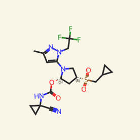 Cc1cc(N2C[C@H](S(=O)(=O)CC3CC3)C[C@@H]2OC(=O)NC2(C#N)CC2)n(CC(F)(F)F)n1